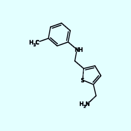 Cc1cccc(NCc2ccc(CN)s2)c1